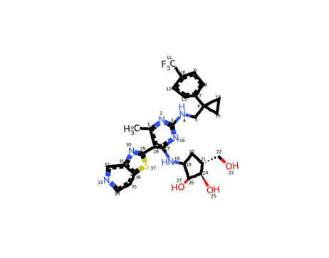 Cc1nc(NCC2(c3ccc(C(F)(F)F)cc3)CC2)nc(NC2C[C@H](CO)[C@@H](O)[C@H]2O)c1-c1nc2cnccc2s1